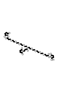 O=C(CCOCCOCCOCCOCCN(CCOCCOCCOCCOCCC(=O)ON1C(=O)CCC1O)C(=O)CCN1C(=O)C=CC1=O)ON1C(=O)CCC1=O